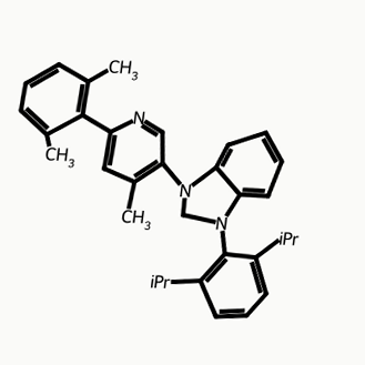 Cc1cc(-c2c(C)cccc2C)ncc1N1CN(c2c(C(C)C)cccc2C(C)C)c2ccccc21